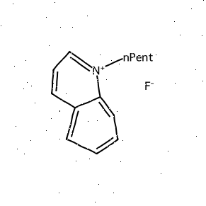 CCCCC[n+]1cccc2ccccc21.[F-]